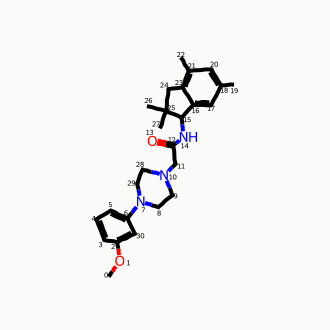 COc1cccc(N2CCN(CC(=O)NC3c4cc(C)cc(C)c4CC3(C)C)CC2)c1